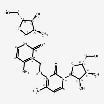 C[C@@H]1[C@H](O)[C@@H](CO)O[C@H]1n1ccc(N)[n+](C[C-2][n+]2c(N)ccn([C@@H]3O[C@H](CO)[C@@H](O)[C@H]3O)c2=O)c1=O